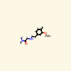 CCCCOc1cc(CCNCC(=O)N(C)C)ccc1C